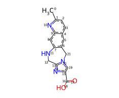 Cc1ccc2cc3c(cc2n1)NCc1nc(C(=O)O)cn1C3